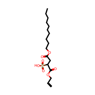 C=CCOC(=O)C(CC(=O)OCCCCCCCCCC)S(=O)(=O)O